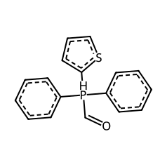 O=C[PH](c1ccccc1)(c1ccccc1)c1cccs1